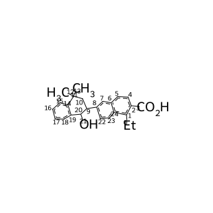 CCc1c(C(=O)O)ccc2cc(C3CC(C)(C)c4ccccc4C3O)ccc12